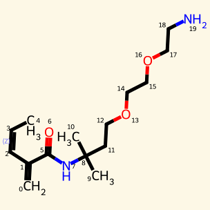 C=C(/C=C\C)C(=O)NC(C)(C)CCOCCOCCN